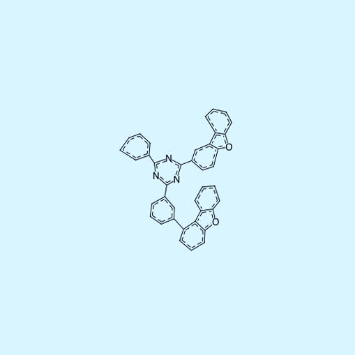 c1ccc(-c2nc(-c3cccc(-c4cccc5oc6ccccc6c45)c3)nc(-c3ccc4oc5ccccc5c4c3)n2)cc1